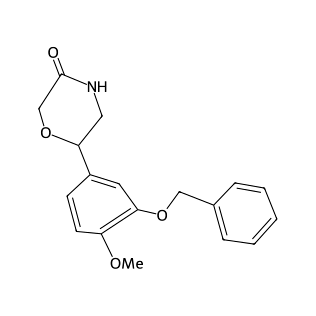 COc1ccc(C2CNC(=O)CO2)cc1OCc1ccccc1